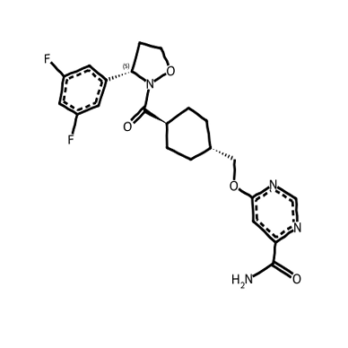 NC(=O)c1cc(OC[C@H]2CC[C@H](C(=O)N3OCC[C@H]3c3cc(F)cc(F)c3)CC2)ncn1